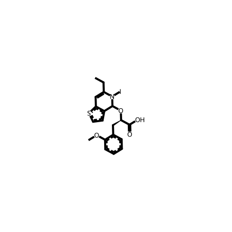 CCC1=Cc2sccc2C(O[C@H](Cc2ccccc2OC)C(=O)O)N1I